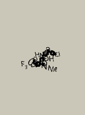 CNC(=O)c1ccc(OC(=O)C(F)(F)F)cc1N1C[C@H](NC2CCN(C(=O)c3ccc(Cl)cc3)CC2)[C@@H](O)C1